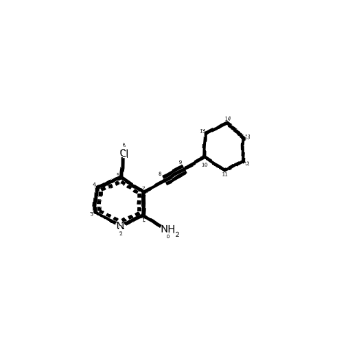 Nc1nccc(Cl)c1C#CC1CCCCC1